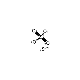 O=S(=O)([O-])[O-].[Sr+2]